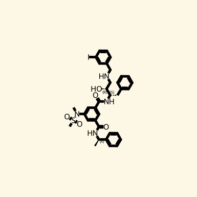 C[C@@H](NC(=O)c1cc(C(=O)N[C@@H](Cc2ccccc2)[C@H](O)CNCc2cccc(I)c2)cc(N(C)S(C)(=O)=O)c1)c1ccccc1